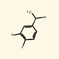 CCCC(c1ccc(F)c(F)c1)C(F)(F)F